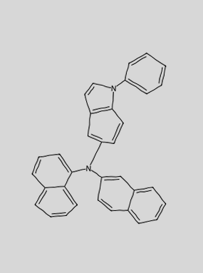 c1ccc(-n2ccc3cc(N(c4ccc5ccccc5c4)c4cccc5ccccc45)ccc32)cc1